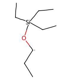 CC[CH]O[Si](CC)(CC)CC